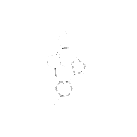 C=C1CCN(C(=O)OC(C)(C)C)[C@@H]1c1nc[nH]c1-c1ccc(Br)cc1